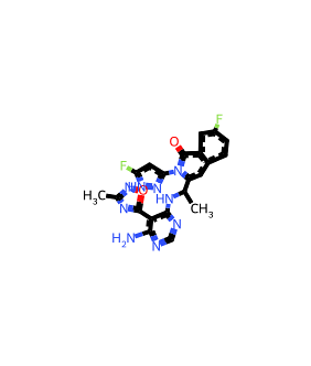 Cc1noc(-c2c(N)ncnc2NC(C)c2cc3ccc(F)cc3c(=O)n2-c2cc(F)[nH]n2)n1